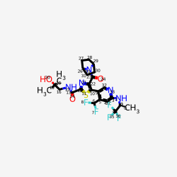 C[C@H](Nc1cc(C(F)F)c(-c2sc(C(=O)NCC(C)(C)O)nc2C(=O)N2C3CCC2CC3)cn1)C(F)(F)F